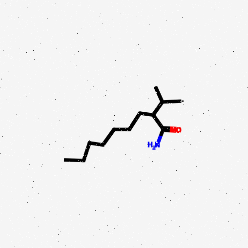 [CH2]C(C)C(CCCCCCC)C(N)=O